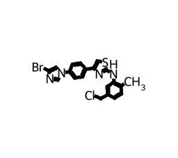 Cc1ccc(CCl)cc1Nc1nc(-c2ccc(-n3cnc(Br)c3)cc2)cs1